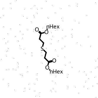 CCCCCCOC(=O)CCSCCC(=O)OCCCCCC